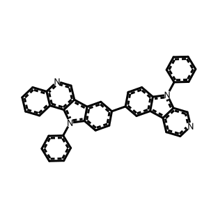 c1ccc(-n2c3ccc(-c4ccc5c(c4)c4cnc6ccccc6c4n5-c4ccccc4)cc3c3ccncc32)cc1